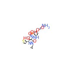 NO/C=C/Oc1ccc2c(c1)P(=O)(O)N=C(c1c(O)c(-c3ccsc3)nn(CC3CC3)c1=O)N2